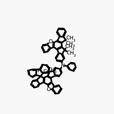 CC1(C)c2ccccc2-c2c1c1c(c3c2oc2ccccc23)-c2ccc(N(c3ccccc3)c3ccc4c(c3)C(C)(C)c3c5c(c6oc7ccccc7c6c3-4)-c3ccccc3C53c4ccccc4-c4ccccc43)cc2C1(C)C